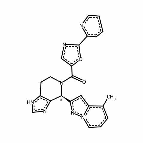 Cc1cccn2nc([C@H]3c4nc[nH]c4CCN3C(=O)c3cnc(-c4ccccn4)o3)cc12